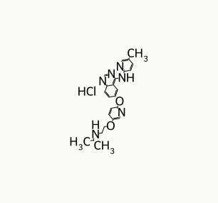 Cc1ccc(Nc2ncnc3ccc(Oc4ccc(OCCNC(C)C)cn4)cc23)nc1.Cl